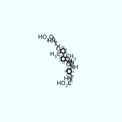 Cc1c(OCCCNCC(=O)O)cccc1-c1cccc(-c2nnc(Nc3cccc(CNCC(=O)O)c3)o2)c1C